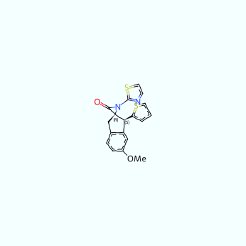 COc1ccc2c(c1)[C@H](c1cccs1)[C@]1(C2)C(=O)N1c1nccs1